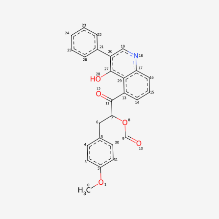 COc1ccc(CC(OC=O)C(=O)c2cccc3ncc(-c4ccccc4)c(O)c23)cc1